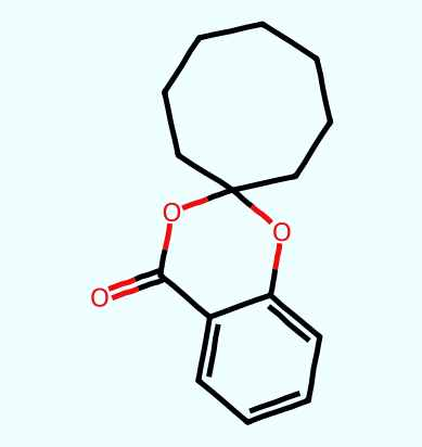 O=C1OC2(CCCCCCC2)Oc2ccccc21